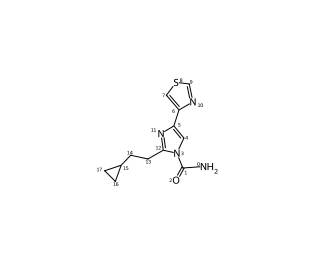 NC(=O)n1cc(-c2cscn2)nc1CCC1CC1